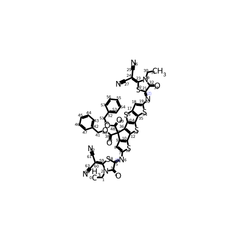 CCN1C(=O)/C(=N/c2cc3c(s2)-c2sc4c(sc5cc(/N=C6\SC(=C(C#N)C#N)N(CC)C6=O)sc54)c2C3(C(=O)OCc2ccccc2)C(=O)OCc2ccccc2)SC1=C(C#N)C#N